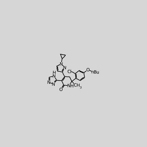 CCCCOc1ccc(C2(C)CC(c3ccn(C4CC4)n3)=C(c3nnc[nH]3)C(=O)N2)c(Cl)c1